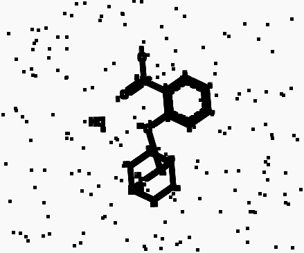 Cl.O=[N+]([O-])c1ccccc1OC1CN2CCC1CC2